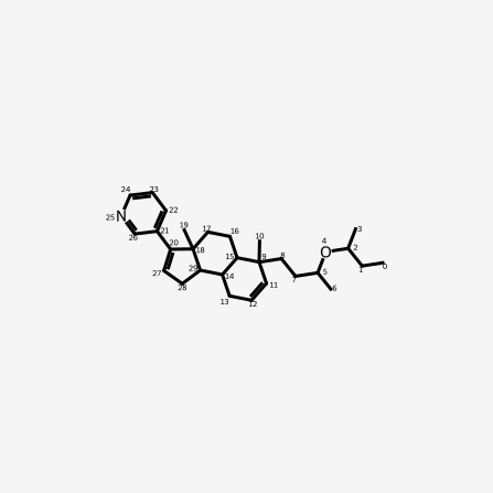 CCC(C)OC(C)CCC1(C)C=CCC2C1CCC1(C)C(c3cccnc3)=CCC21